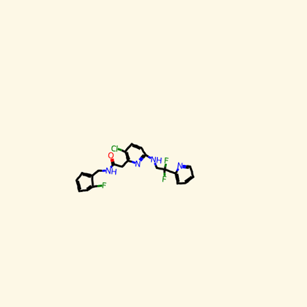 O=C(Cc1nc(NCC(F)(F)c2ccccn2)ccc1Cl)NCc1ccccc1F